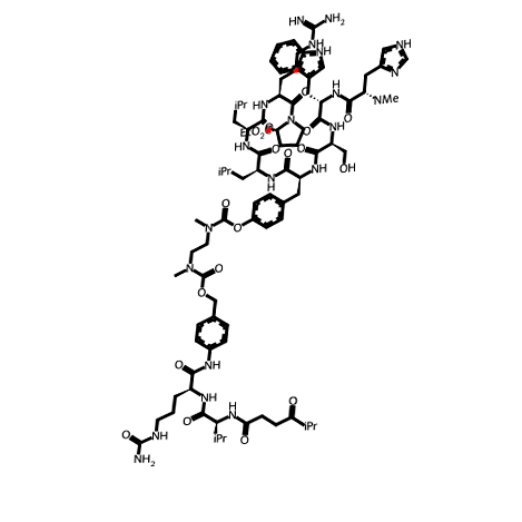 CCOC(=O)[C@@H]1CCCN1C(=O)[C@H](CCCNC(=N)N)NC(=O)[C@H](CC(C)C)NC(=O)[C@H](CC(C)C)NC(=O)[C@H](Cc1ccc(OC(=O)N(C)CCN(C)C(=O)OCc2ccc(NC(=O)[C@H](CCCNC(N)=O)NC(=O)[C@@H](NC(=O)CCC(=O)C(C)C)C(C)C)cc2)cc1)NC(=O)[C@H](CO)NC(=O)[C@H](Cc1c[nH]c2ccccc12)NC(=O)[C@H](Cc1c[nH]cn1)NC